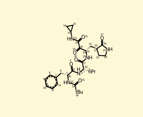 CCC[C@H](NC(=O)[C@@H](Cc1ccccc1)NC(=O)C(C)(C)C)C(=O)N[C@@H](C[C@@H]1CCNC1=O)C(=O)C(=O)NC1CC1